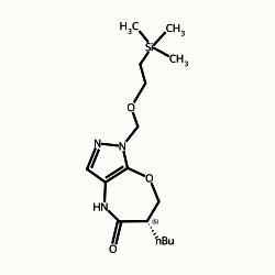 CCCC[C@H]1COc2c(cnn2COCC[Si](C)(C)C)NC1=O